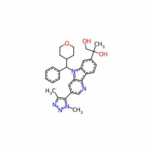 Cc1nnn(C)c1-c1cnc2c3ccc(C(C)(O)CO)cc3n(C(c3ccccc3)C3CCOCC3)c2c1